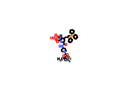 CC(C)(C)OC(=O)N1CCC(NC(=O)[C@@H]2C=C(C/C=C/[PH](c3ccccc3)(c3ccccc3)c3ccccc3)[C@H]3CN2C(=O)N3OS(=O)(=O)O)CC1